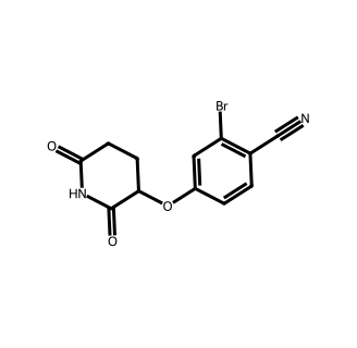 N#Cc1ccc(OC2CCC(=O)NC2=O)cc1Br